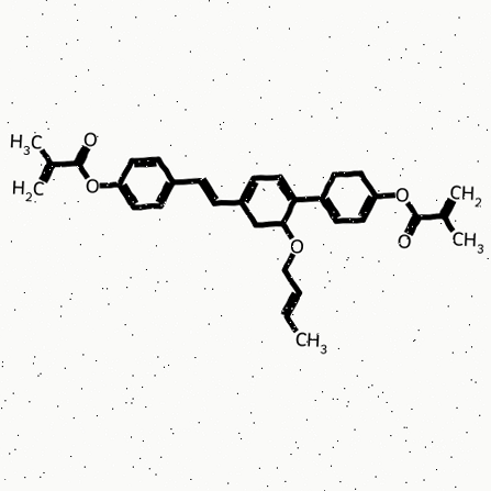 C=C(C)C(=O)OC1=CC=C(C2=CC=C(/C=C/c3ccc(OC(=O)C(=C)C)cc3)CC2OC/C=C/C)CC1